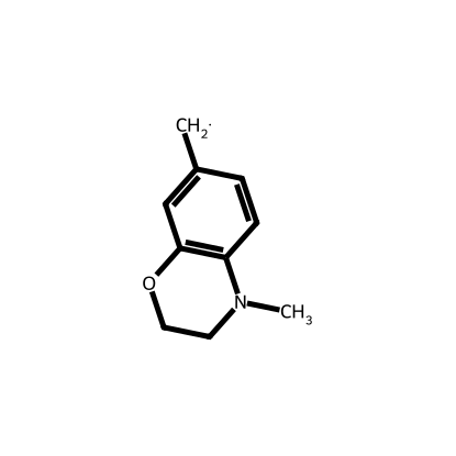 [CH2]c1ccc2c(c1)OCCN2C